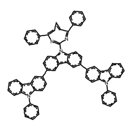 C1=C/C(c2ccccc2)=N\C(n2c3ccc(-c4ccc5c(c4)c4ccccc4n5-c4ccccc4)cc3c3cc(-c4ccc5c(c4)c4ccccc4n5-c4ccccc4)ccc32)=N/C(c2ccccc2)=C/1